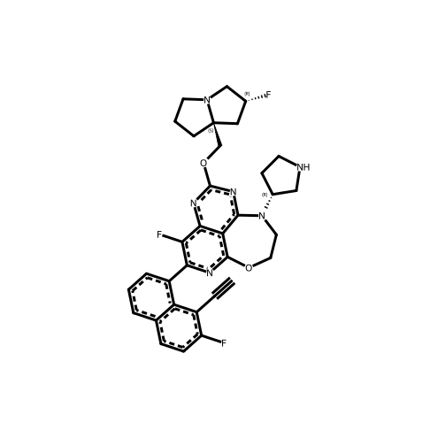 C#Cc1c(F)ccc2cccc(-c3nc4c5c(nc(OC[C@@]67CCCN6C[C@H](F)C7)nc5c3F)N([C@@H]3CCNC3)CCO4)c12